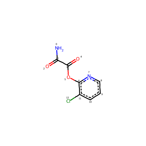 NC(=O)C(=O)Oc1ncccc1Cl